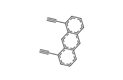 C#Cc1cccc2cc3cccc(C#C)c3cc12